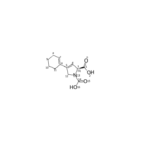 O=C(O)[C@@H]1C=C(C2=CCCCC2)CN1C(=O)O